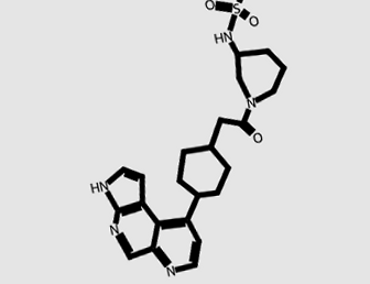 CS(=O)(=O)NC1CCCN(C(=O)CC2CCC(c3ccnc4cnc5[nH]ccc5c34)CC2)C1